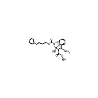 CC(C)(C)OC(=O)C(C(N)c1ccccc1)C(O)(O)CN(N)C(=O)OCCCCc1ccccc1